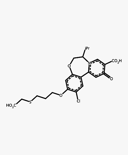 CC(C)C1COc2cc(OCCCSCC(=O)O)c(Cl)cc2-c2cc(=O)c(C(=O)O)cn21